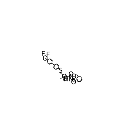 Cc1oc(C(=O)NS(=O)(=O)C2=CC=CCC2C)cc1CSc1ccc(-c2ccc(OC(F)F)cc2)cc1